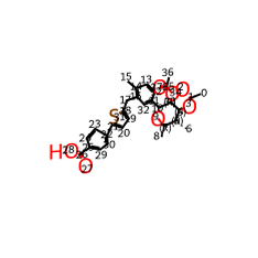 CC(=O)O[C@H]1[C@H](C)[C@@H](C)OC(c2ccc(C)c(Cc3ccc(-c4ccc(C(=O)O)cc4)s3)c2)[C@@H]1OC(C)=O